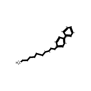 CCCCCCCCCCCc1ccc(-c2ccccc2)cc1